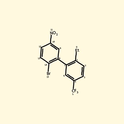 CCc1[c]cc(C(F)(F)F)cc1-c1cc([N+](=O)[O-])ccc1Br